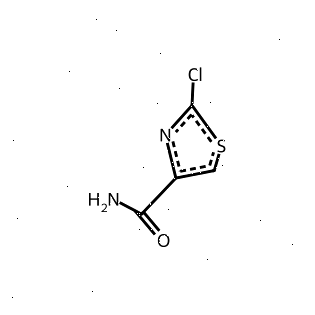 NC(=O)c1csc(Cl)n1